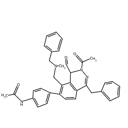 CC(=O)Nc1ccc(-c2ccc3c(c2CN(C)Cc2ccccc2)C(C=O)N(C(C)=O)N=C3Cc2ccccc2)cc1